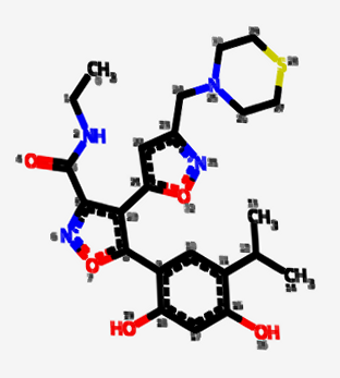 CCNC(=O)c1noc(-c2cc(C(C)C)c(O)cc2O)c1-c1cc(CN2CCSCC2)no1